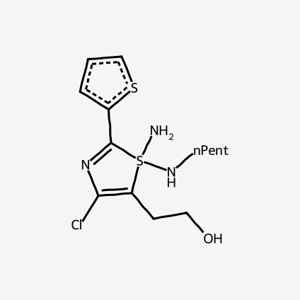 CCCCCNS1(N)C(c2cccs2)=NC(Cl)=C1CCO